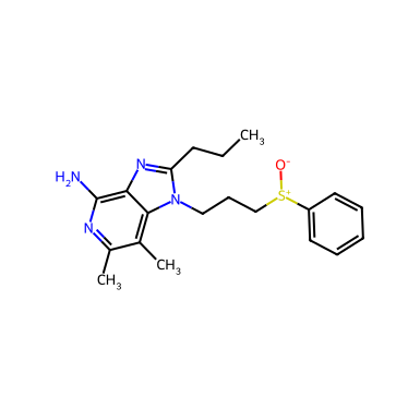 CCCc1nc2c(N)nc(C)c(C)c2n1CCC[S+]([O-])c1ccccc1